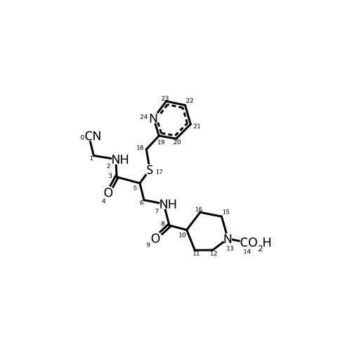 N#CCNC(=O)C(CNC(=O)C1CCN(C(=O)O)CC1)SCc1ccccn1